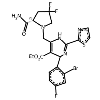 CCOC(=O)C1=C(CN2CC(F)(F)C[C@H]2C(N)=O)NC(c2nccs2)=NC1c1ccc(F)cc1Br